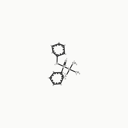 C[Si](C)(C)P(=O)(Oc1ccccc1)c1ccccc1